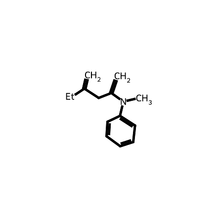 C=C(CC)CC(=C)N(C)c1ccccc1